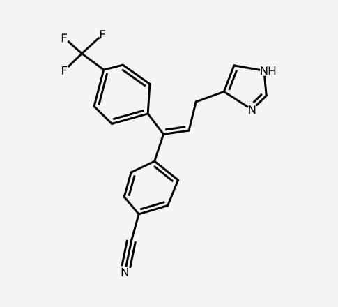 N#Cc1ccc(C(=CCc2c[nH]cn2)c2ccc(C(F)(F)F)cc2)cc1